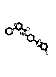 O=C(NC1CCC(c2nc3cc(Cl)ccc3s2)CC1)c1ccnc(N2CCCCC2)c1